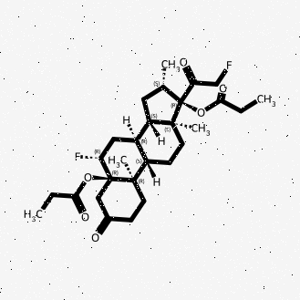 CCC(=O)O[C@]12CC(=O)CC[C@]1(C)[C@H]1CC[C@@]3(C)[C@@H](C[C@H](C)[C@]3(OC(=O)CC)C(=O)CF)[C@@H]1C[C@H]2F